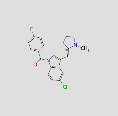 CN1CCC[C@@H]1Cc1cn(C(=O)c2ccc(F)cc2)c2ccc(Cl)cc12